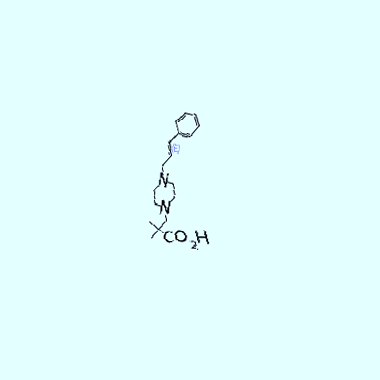 CC(C)(CN1CCN(C/C=C/c2ccccc2)CC1)C(=O)O